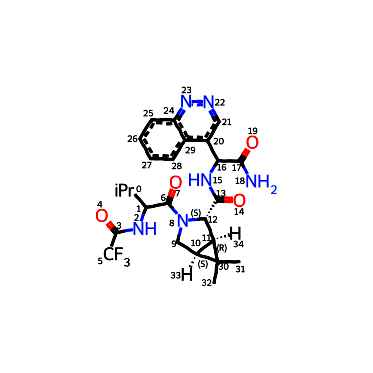 CC(C)C(NC(=O)C(F)(F)F)C(=O)N1C[C@H]2[C@@H]([C@H]1C(=O)NC(C(N)=O)c1cnnc3ccccc13)C2(C)C